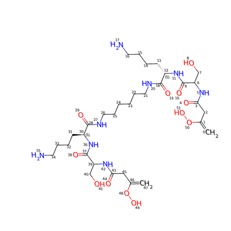 C=C(CC(=O)NC(CO)C(=O)N[C@@H](CCCCN)C(=O)NCCCCCCNC(=O)[C@H](CCCCN)NC(=O)C(CO)NC(=O)CC(=C)OO)OO